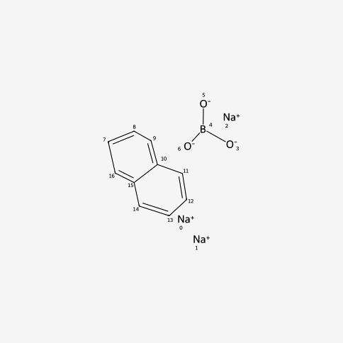 [Na+].[Na+].[Na+].[O-]B([O-])[O-].c1ccc2ccccc2c1